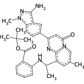 Cc1cc(C(C)Nc2ccccc2C(=O)OC(C)(C)C)c2nc(-c3ccc4c(c3)c(N)nn4C)cc(=O)n2c1